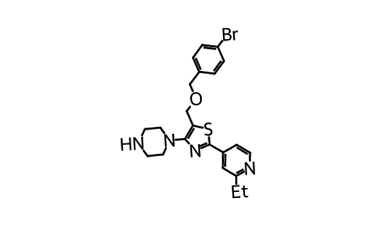 CCc1cc(-c2nc(N3CCNCC3)c(COCc3ccc(Br)cc3)s2)ccn1